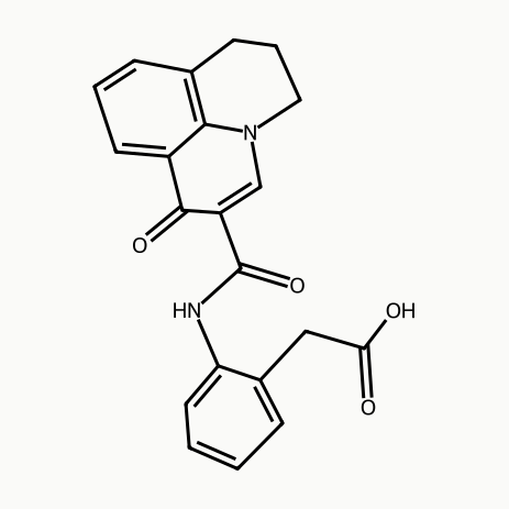 O=C(O)Cc1ccccc1NC(=O)c1cn2c3c(cccc3c1=O)CCC2